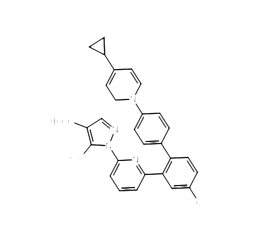 O=C(O)c1cnn(-c2cccc(-c3cc(Cl)ccc3-c3ccc(N4C=CC(C5CC5)=CC4)cc3)n2)c1C(F)(F)F